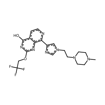 CN1CCN(CCn2cnc(-c3nccc4c(O)nc(OCC(F)(F)F)nc34)c2)CC1